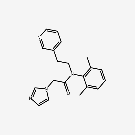 Cc1cccc(C)c1N(CCc1cccnc1)C(=O)Cn1ccnc1